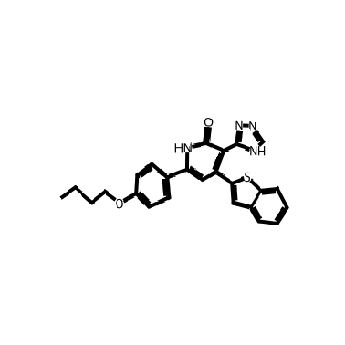 CCCCOc1ccc(-c2cc(-c3cc4ccccc4s3)c(-c3nnc[nH]3)c(=O)[nH]2)cc1